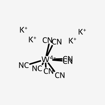 N#[C][W-4]([C]#N)([C]#N)([C]#N)([C]#N)([C]#N)([C]#N)[C]#N.[K+].[K+].[K+].[K+]